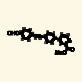 COC(=O)c1cc(-c2ccc(C#Cc3ccc(C=O)cc3)cc2)ccn1